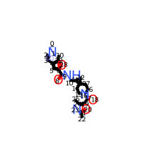 C=N/C=C\c1cc(C(=O)NCC2CC23CCN(C(=O)c2oc(C)nc2C)CC3)oc1C